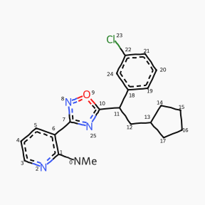 CNc1ncccc1-c1noc(C(CC2CCCC2)c2cccc(Cl)c2)n1